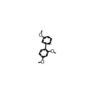 COc1cc[c]c(-c2ccc(OC)cc2OC)c1